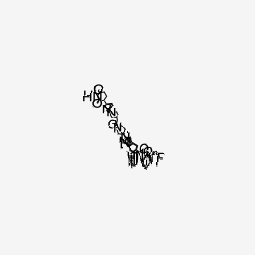 CC(C)Oc1cc2nn(C3CCN(C(=O)CC4CCN(c5ccc(C6CCC(=O)NC6=O)cn5)CC4)CC3)cc2cc1C(=O)Nc1cccn([C@H]2C[C@H]2F)c1=O